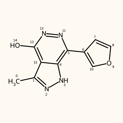 Cc1n[nH]c2c(-c3ccoc3)nnc(O)c12